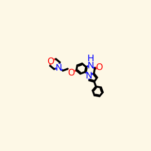 O=c1[nH]c2ccc(OCCN3CCOCC3)cc2n2cc(-c3ccccc3)cc12